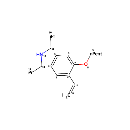 C=Cc1ccccc1OCCCCC.CC(C)CNCC(C)C